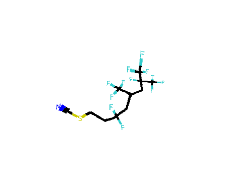 N#CSCCC(F)(F)CC(CC(F)(C(F)(F)F)C(F)(F)F)C(F)(F)F